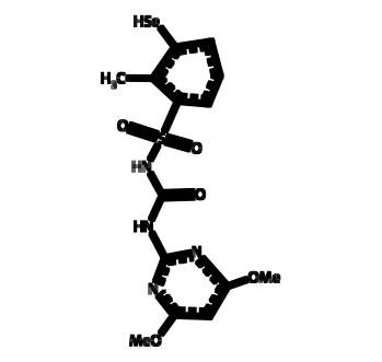 COc1cc(OC)nc(NC(=O)NS(=O)(=O)c2cccc([SeH])c2C)n1